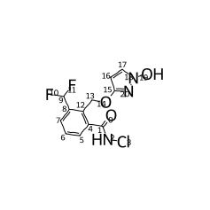 O=C(NCl)c1cccc(C(F)F)c1COc1ccn(O)n1